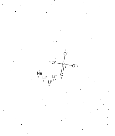 O=P([O-])([O-])[O-].[Li+].[Li+].[Li+].[Ne]